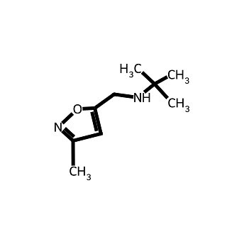 Cc1cc(CNC(C)(C)C)on1